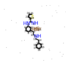 Br.Br.N=C(Nc1cccc(CCNCCc2ccccc2)c1)c1cccs1